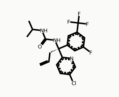 C=CC[C@](NC(=O)NC(C)C)(c1cc(F)cc(C(F)(F)F)c1)c1ccc(Cl)cn1